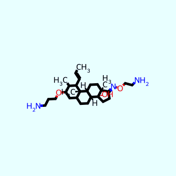 CC=CC1C(C)C(OCCCN)CC2CC[C@@H]3[C@@H](CC[C@]4(C)C(=NOCCN)CC[C@@]34O)[C@]21C